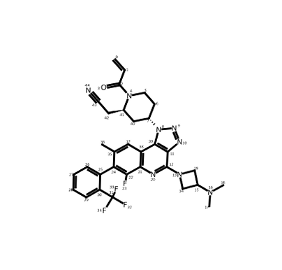 C=CC(=O)N1CC[C@H](n2nnc3c(N4CC(N(C)C)C4)nc4c(F)c(-c5ccccc5C(F)(F)F)c(C)cc4c32)C[C@H]1CC#N